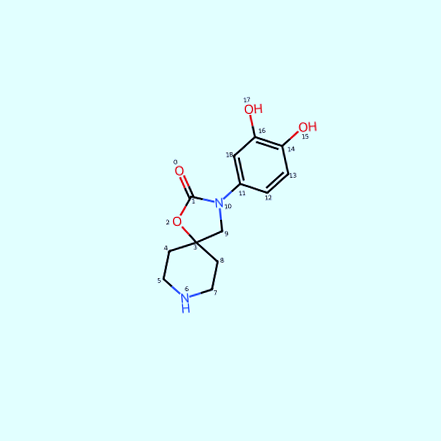 O=C1OC2(CCNCC2)CN1c1ccc(O)c(O)c1